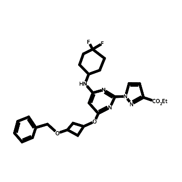 CCOC(=O)c1ccn(-c2nc(NC3CCC(F)(F)CC3)cc(OC3CC(OCc4ccccc4)C3)n2)n1